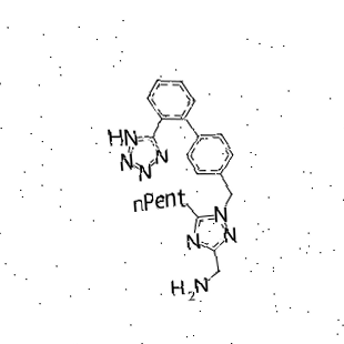 CCCCCc1nc(CN)nn1Cc1ccc(-c2ccccc2-c2nnn[nH]2)cc1